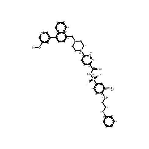 CCOc1cncc(-c2ccc(CN3CCN(c4ccc(C(=O)NS(=O)(=O)c5ccc(NCCSc6ccccc6)c(C(F)(F)F)c5)nn4)CC3)c3ccccc23)c1